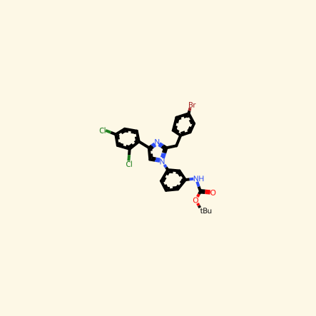 CC(C)(C)OC(=O)Nc1cccc(-n2cc(-c3ccc(Cl)cc3Cl)nc2Cc2ccc(Br)cc2)c1